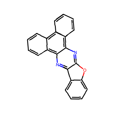 c1ccc2c(c1)oc1nc3c4ccccc4c4ccccc4c3nc12